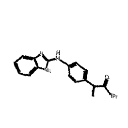 CC(C)C(=O)C(C)c1ccc(Nc2nc3ccccc3[nH]2)cc1